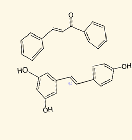 O=C(C=Cc1ccccc1)c1ccccc1.Oc1ccc(/C=C/c2cc(O)cc(O)c2)cc1